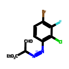 CCOC(=O)C(C=O)/N=N\c1ccc(Br)c(F)c1Cl